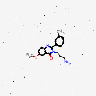 COc1ccc2nc(-c3cccc(C)c3)n(CCCN)c(=O)c2c1